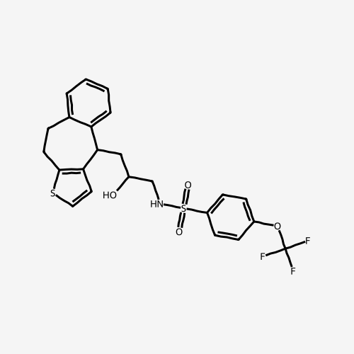 O=S(=O)(NCC(O)CC1c2ccccc2CCc2sccc21)c1ccc(OC(F)(F)F)cc1